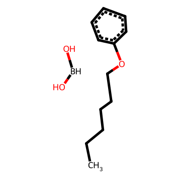 CCCCCCOc1ccccc1.OBO